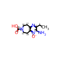 CCc1nc2c([n+]([O-])c1N)CCN(C(=O)O)CC2